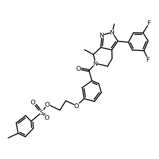 Cc1ccc(S(=O)(=O)OCCOc2cccc(C(=O)N3CCc4c(nn(C)c4-c4cc(F)cc(F)c4)C3C)c2)cc1